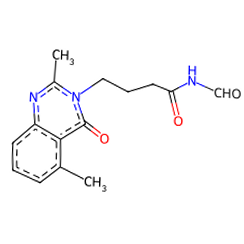 Cc1cccc2nc(C)n(CCCC(=O)NC=O)c(=O)c12